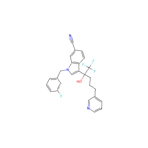 N#Cc1ccc2c(C(O)(CCCc3cccnc3)C(F)(F)F)cn(Cc3cccc(F)c3)c2c1